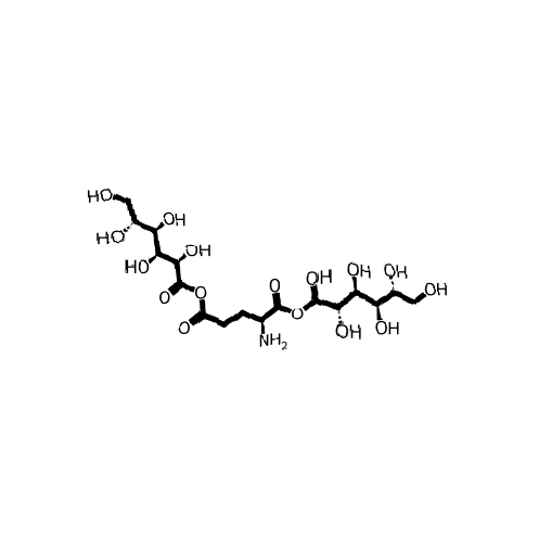 N[C@@H](CCC(=O)OC(=O)[C@H](O)[C@@H](O)[C@H](O)[C@H](O)CO)C(=O)OC(O)[C@@H](O)[C@@H](O)[C@H](O)[C@H](O)CO